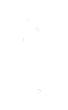 CC(C)N[SiH2]CC[SiH2]NC(C)C